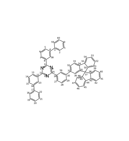 c1ccc(-c2cccc(-c3nc(-c4cccc(-c5ccccc5)c4)nc(-c4cccc(-c5ccc6c(c5)C5(c7ccccc7-c7ccccc75)c5ccccc5-6)c4)n3)c2)cc1